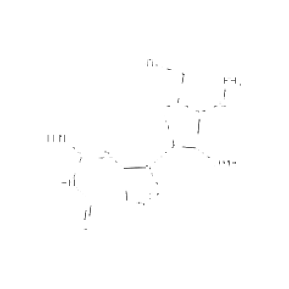 COC1C(OP)C(CO)OC1n1cnc2c(=O)[nH]c(N)nc21